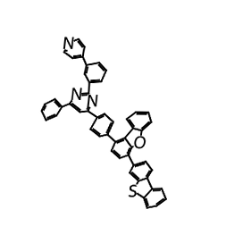 c1ccc(-c2cc(-c3ccc(-c4ccc(-c5ccc6c(c5)sc5ccccc56)c5oc6ccccc6c45)cc3)nc(-c3cccc(-c4ccncc4)c3)n2)cc1